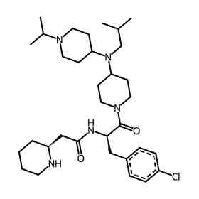 CC(C)CN(C1CCN(C(=O)[C@@H](Cc2ccc(Cl)cc2)NC(=O)C[C@@H]2CCCCN2)CC1)C1CCN(C(C)C)CC1